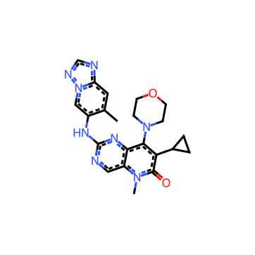 Cc1cc2ncnn2cc1Nc1ncc2c(n1)c(N1CCOCC1)c(C1CC1)c(=O)n2C